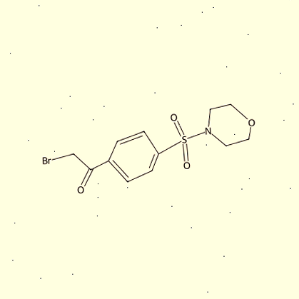 O=C(CBr)c1ccc(S(=O)(=O)N2CCOCC2)cc1